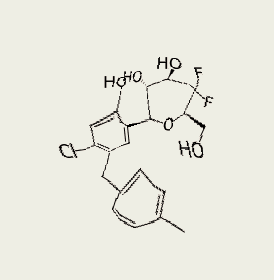 Cc1ccc(Cc2cc([C@@H]3O[C@H](CO)C(F)(F)[C@H](O)[C@H]3O)c(O)cc2Cl)cc1